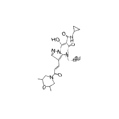 CC1CN(C(=O)C=Cc2cnn3c(O)c(C(=O)NC4CC4)c(=O)n(CC(C)(C)C)c23)CC(C)O1